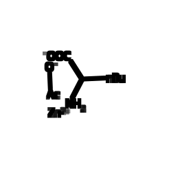 CC(=O)[O-].CCCCC(N)C(=O)[O-].[Zn+2]